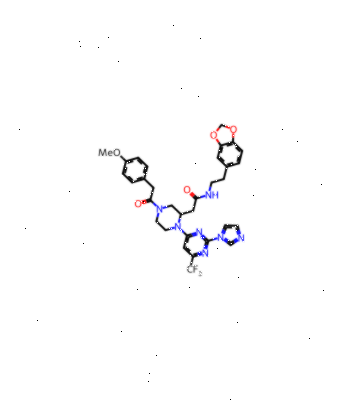 COc1ccc(CC(=O)N2CCN(c3cc(C(F)(F)F)nc(-n4ccnc4)n3)C(CC(=O)NCCc3ccc4c(c3)OCO4)C2)cc1